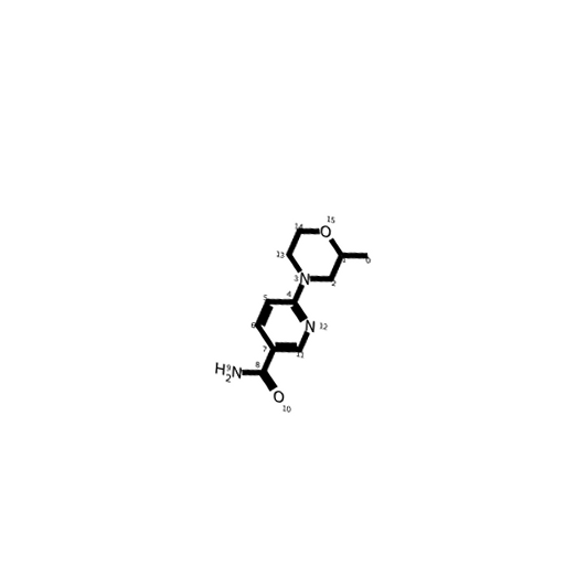 CC1CN(c2ccc(C(N)=O)cn2)CCO1